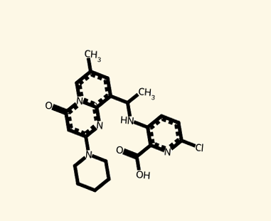 Cc1cc(C(C)Nc2ccc(Cl)nc2C(=O)O)c2nc(N3CCCCC3)cc(=O)n2c1